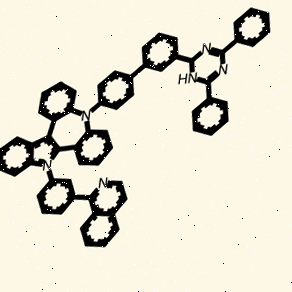 c1ccc(C2=NC(c3cccc(-c4ccc(N5c6ccccc6-c6c(n(-c7cccc(-c8nccc9ccccc89)c7)c7ccccc67)-c6ccccc65)cc4)c3)NC(c3ccccc3)=N2)cc1